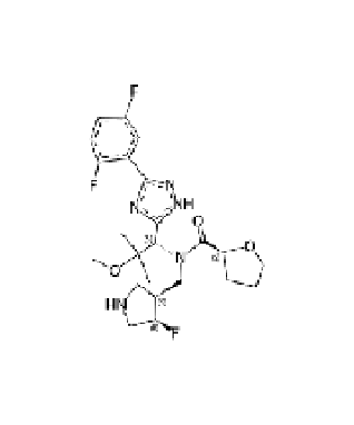 COC(C)(C)[C@H](c1nc(-c2cc(F)ccc2F)n[nH]1)N(C[C@@H]1CNC[C@@H]1F)C(=O)[C@@H]1CCCO1